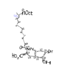 CCCCCCCC/C=C\CCCCCCCC(=O)N[C@@H](Cc1ccc(O)c(O)c1)C(=O)O